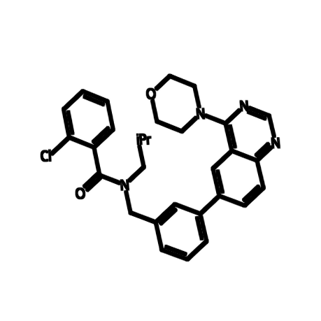 CC(C)CN(Cc1cccc(-c2ccc3ncnc(N4CCOCC4)c3c2)c1)C(=O)c1ccccc1Cl